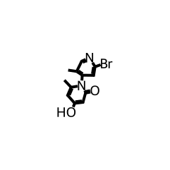 Cc1cnc(Br)cc1-n1c(C)cc(O)cc1=O